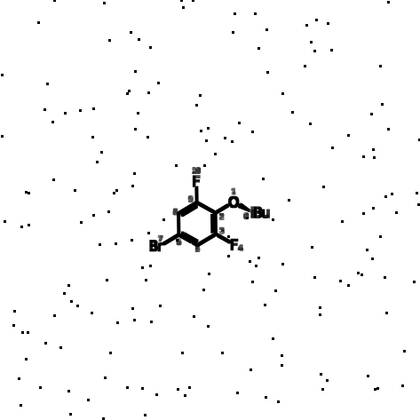 CC[C@H](C)Oc1c(F)cc(Br)cc1F